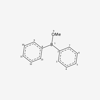 COB(c1ccccc1)c1ccccc1